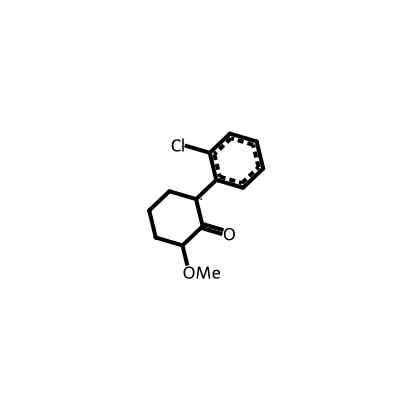 COC1CCC[C](c2ccccc2Cl)C1=O